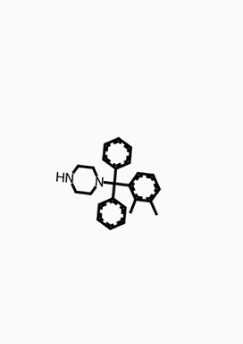 Cc1cccc(C(c2ccccc2)(c2ccccc2)N2CCNCC2)c1C